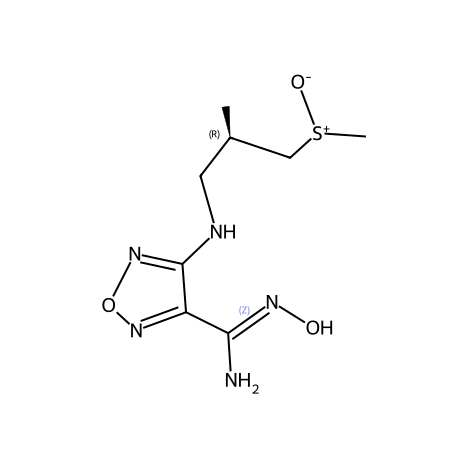 C[C@H](CNc1nonc1/C(N)=N/O)C[S+](C)[O-]